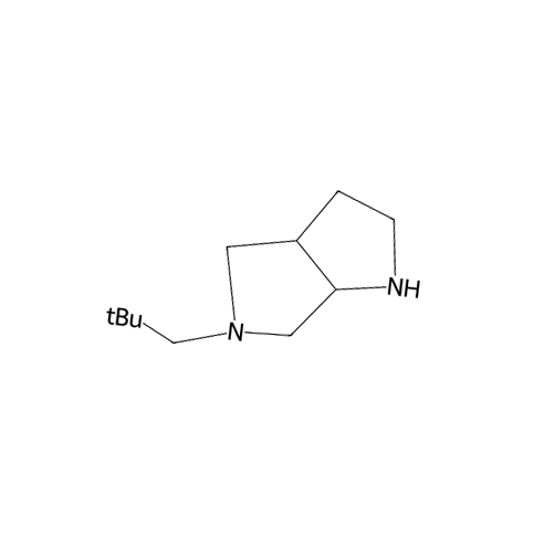 CC(C)(C)CN1CC2CCNC2C1